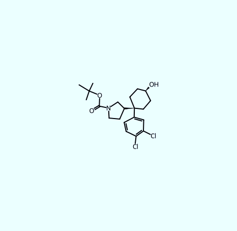 CC(C)(C)OC(=O)N1CCC([C@]2(c3ccc(Cl)c(Cl)c3)CC[C@H](O)CC2)C1